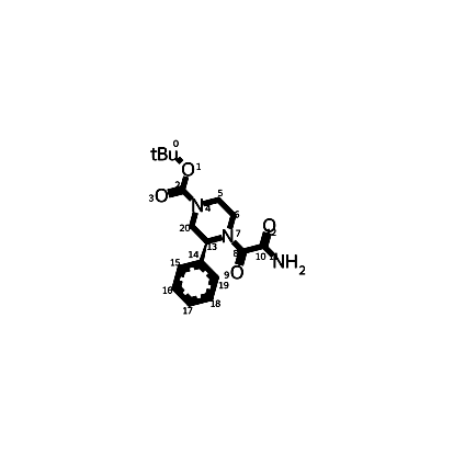 CC(C)(C)OC(=O)N1CCN(C(=O)C(N)=O)[C@@H](c2ccccc2)C1